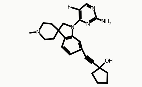 CN1CCC2(CC1)CN(c1nc(N)ncc1F)c1cc(C#CC3(O)CCCC3)ccc12